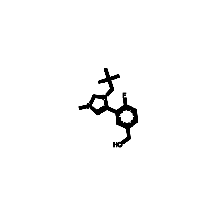 CN1C=C(c2cc(CO)ccc2F)N(CC(C)(C)C)C1